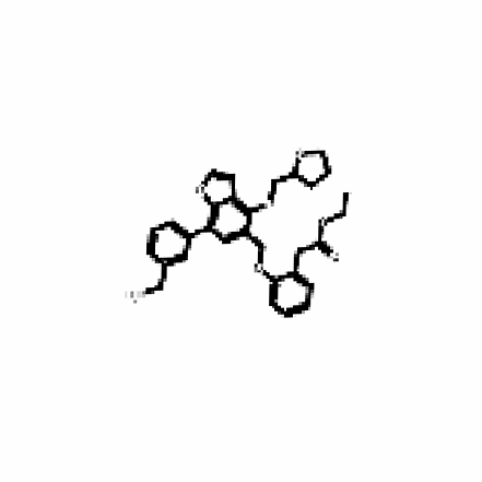 CCOC(=O)Cc1ccccc1OCc1cc(-c2cccc(CN)c2)c2occc2c1OCC1CCCO1